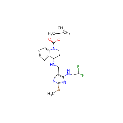 CSc1ncc(CN[C@H]2CCN(C(=O)OC(C)(C)C)c3ccccc32)c(NCC(F)F)n1